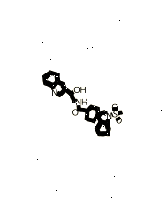 CS(=O)(=O)N1CC2(CCC(C(=O)NCC(O)c3cnc4ccccc4c3)CC2)c2ccccc21